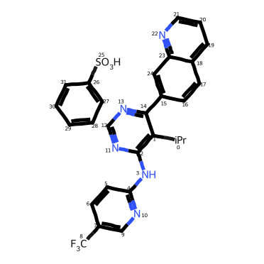 CC(C)c1c(Nc2ccc(C(F)(F)F)cn2)ncnc1-c1ccc2cccnc2c1.O=S(=O)(O)c1ccccc1